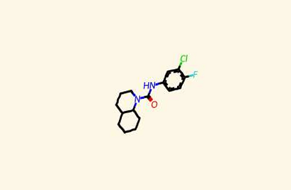 O=C(Nc1ccc(F)c(Cl)c1)N1CCCC2CCCCC21